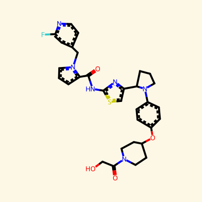 O=C(Nc1nc(C2CCCN2c2ccc(OC3CCN(C(=O)CO)CC3)cc2)cs1)c1cccn1Cc1ccnc(F)c1